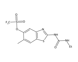 CCNC(=O)Nc1nc2cc(OS(=O)(=O)C(F)(F)F)c(C)cc2s1